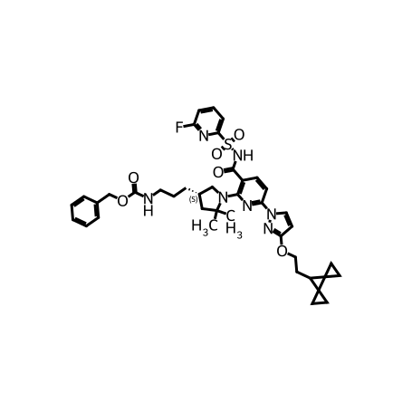 CC1(C)C[C@H](CCCNC(=O)OCc2ccccc2)CN1c1nc(-n2ccc(OCCC3C4(CC4)C34CC4)n2)ccc1C(=O)NS(=O)(=O)c1cccc(F)n1